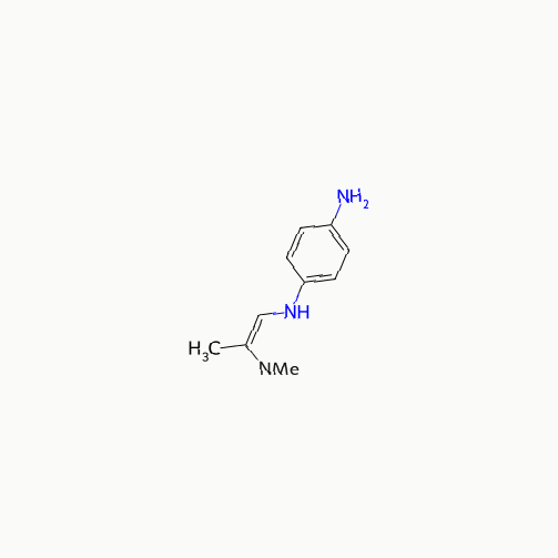 CN/C(C)=C\Nc1ccc(N)cc1